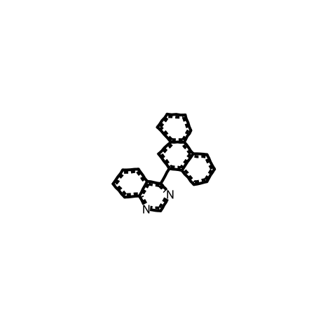 c1ccc2c(c1)cc(-c1ncnc3ccccc13)c1ccccc12